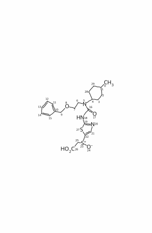 CC1CCC(N(CCOCc2ccccc2)C(=O)Nc2ncc([S+]([O-])CC(=O)O)s2)CC1